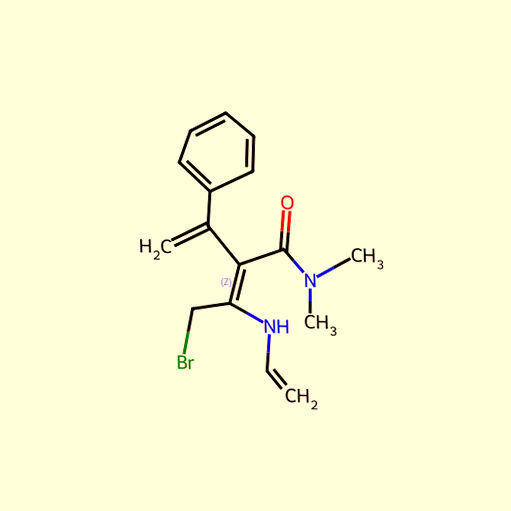 C=CN/C(CBr)=C(/C(=C)c1ccccc1)C(=O)N(C)C